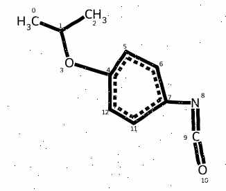 CC(C)Oc1ccc(N=C=O)cc1